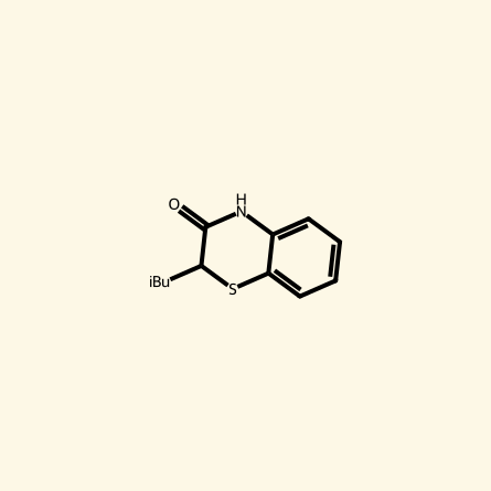 CCC(C)C1Sc2ccccc2NC1=O